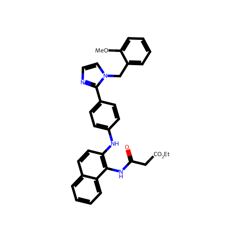 CCOC(=O)CC(=O)Nc1c(Nc2ccc(-c3nccn3Cc3ccccc3OC)cc2)ccc2ccccc12